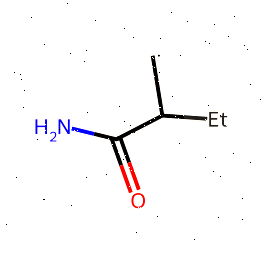 [CH2]C(CC)C(N)=O